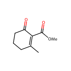 COC(=O)C1=C(C)CCCC1=O